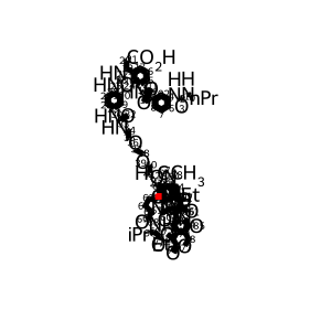 CCCNC(=O)Nc1cccc(S(=O)(=O)Nc2cccc(C(CC(=O)O)NC(=O)Nc3ccc(NC(=O)NCCOCCOCCOCCC(=O)NC(CC(=O)OCCCN(C)C)C(=O)N4CCCC4C(=O)NC(C(=O)OC4(CC)C(=O)OCc5c4cc4n(c5=O)Cc5c-4nc4ccccc4c5CC)C(C)C)cc3)c2)c1